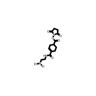 CCN(CC)CCNC(=O)C1=CCC(C(=O)ON2C(=O)CCC2=O)CC1